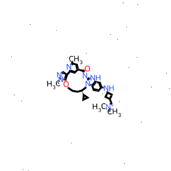 Cc1cc2cc(n1)-c1cnn(C)c1OCCC[C@@H](C1CC1)CN1/C(=N/C2=O)Nc2cc(NC3CC(C=[N+](C)C)C3)ccc21